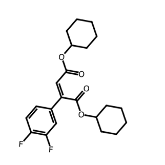 O=C(/C=C(\C(=O)OC1CCCCC1)c1ccc(F)c(F)c1)OC1CCCCC1